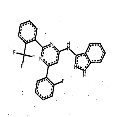 Fc1ccccc1-c1cc(Nc2n[nH]c3ccccc23)nc(-c2ccccc2C(F)(F)F)n1